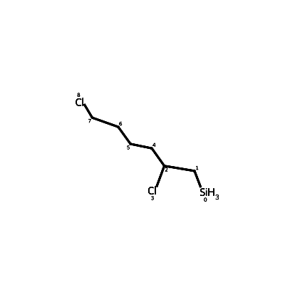 [SiH3]CC(Cl)CCCCCl